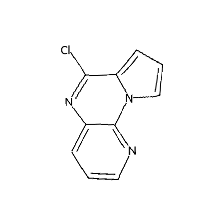 Clc1nc2cccnc2n2cccc12